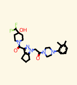 Cc1cccc(N2CCN(C(=O)Cn3nc(C(=O)N4CCC(O)(C(F)F)CC4)c4c3CCC4)CC2)c1C